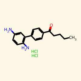 CCCCC(=O)c1ccc(-c2cc(N)ccc2N)cc1.Cl.Cl